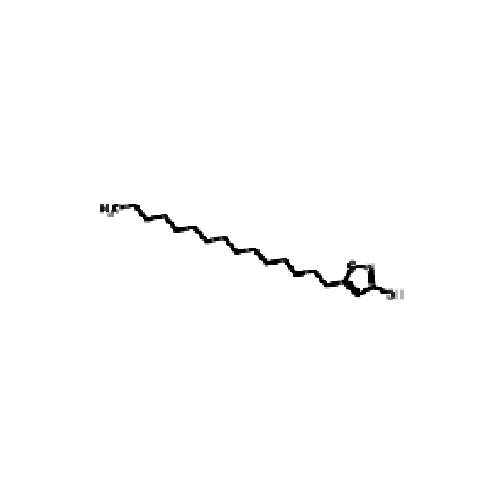 CCCCCCCCCCCCCCCc1cc(O)no1